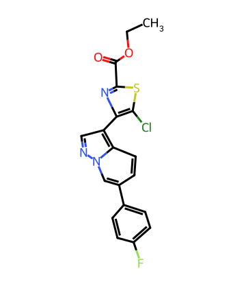 CCOC(=O)c1nc(-c2cnn3cc(-c4ccc(F)cc4)ccc23)c(Cl)s1